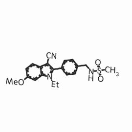 CCn1c(-c2ccc(CNS(C)(=O)=O)cc2)c(C#N)c2ccc(OC)cc21